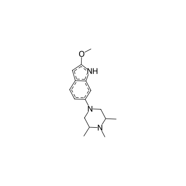 COc1cc2ccc(N3CC(C)N(C)C(C)C3)cc2[nH]1